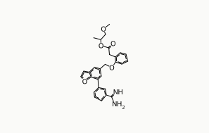 COCC(C)OC(=O)Cc1ccccc1OCc1cc(-c2cccc(C(=N)N)c2)c2occc2c1